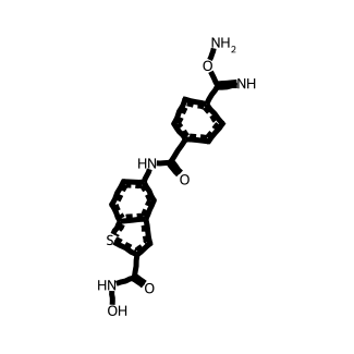 N=C(ON)c1ccc(C(=O)Nc2ccc3sc(C(=O)NO)cc3c2)cc1